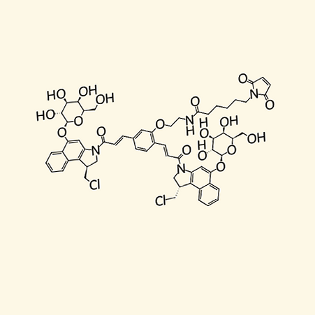 O=C(CCCCCN1C(=O)C=CC1=O)NCCOc1cc(/C=C/C(=O)N2C[C@@H](CCl)c3c2cc(O[C@@H]2O[C@H](CO)[C@H](O)[C@H](O)[C@H]2O)c2ccccc32)ccc1/C=C/C(=O)N1C[C@@H](CCl)c2c1cc(O[C@@H]1O[C@H](CO)[C@H](O)[C@H](O)[C@H]1O)c1ccccc21